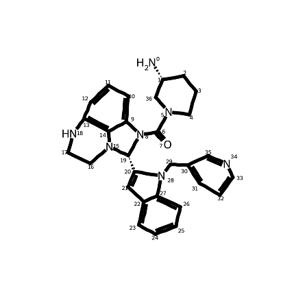 N[C@@H]1CCCN(C(=O)N2c3cccc4c3N(CCN4)[C@H]2c2cc3ccccc3n2Cc2cccnc2)C1